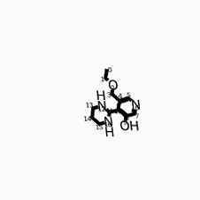 CCOCc1cncc(O)c1C1NCCCN1